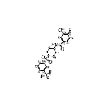 O=C(NC1CCC(S(=O)(=O)c2cccc(C(F)(F)F)c2)CC1)c1ccc(F)c(Cl)c1